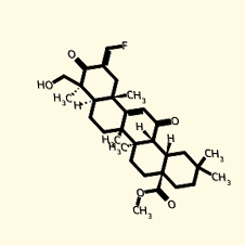 COC(=O)[C@]12CCC(C)(C)C[C@H]1[C@H]1C(=O)C=C3[C@@]4(C)C/C(=C\F)C(=O)[C@](C)(CO)[C@@H]4CC[C@@]3(C)[C@]1(C)CC2